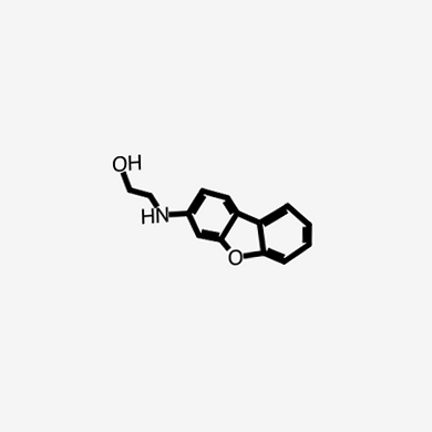 OCCNc1ccc2c(c1)oc1ccccc12